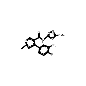 COc1nnc(NC(=O)c2cnc(C)cc2-c2ccc(F)c(C(F)(F)F)c2)s1